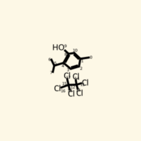 Cc1ccc(C(C)C)c(O)c1.ClC(Cl)(Cl)C(Cl)(Cl)Cl